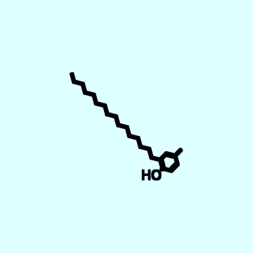 CCCCCCCCCCCCCCCCc1cc(C)ccc1O